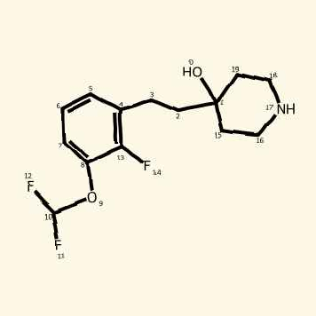 OC1(CCc2cccc(OC(F)F)c2F)CCNCC1